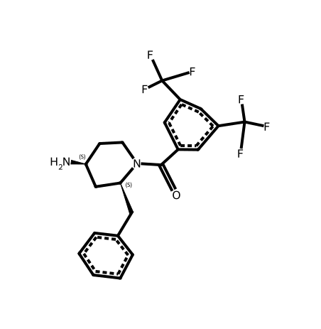 N[C@H]1CCN(C(=O)c2cc(C(F)(F)F)cc(C(F)(F)F)c2)[C@@H](Cc2ccccc2)C1